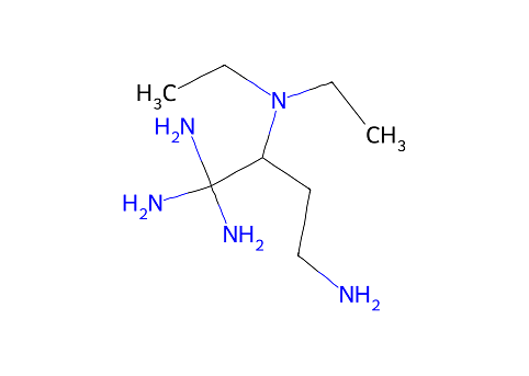 CCN(CC)C(CCN)C(N)(N)N